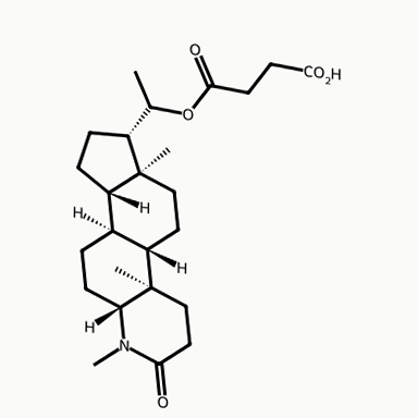 CC(OC(=O)CCC(=O)O)[C@H]1CC[C@H]2[C@@H]3CC[C@H]4N(C)C(=O)CC[C@]4(C)[C@H]3CC[C@]12C